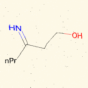 CCCC(=N)CCO